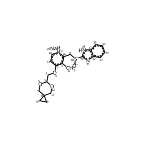 Cc1c(OCC2OCC3(CC3)CO2)ccnc1C[S+]([O-])c1nc2ccccc2[nH]1.[NaH]